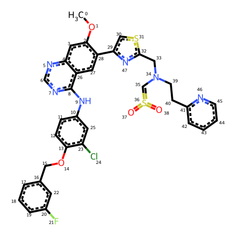 COc1cc2ncnc(Nc3ccc(OCc4cccc(F)c4)c(Cl)c3)c2cc1-c1csc(CN(C=S(=O)=O)CCc2ccccn2)n1